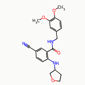 COc1ccc(CNC(=O)c2cc(C#N)ccc2NC2CCOC2)cc1OC